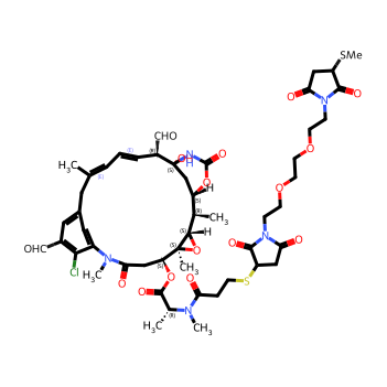 CSC1CC(=O)N(CCOCCOCCN2C(=O)CC(SCCC(=O)N(C)[C@H](C)C(=O)O[C@H]3CC(=O)N(C)c4cc(cc(C=O)c4Cl)C/C(C)=C/C=C/[C@@H](C=O)[C@@]4(O)C[C@H](OC(=O)N4)[C@@H](C)[C@@H]4O[C@@]34C)C2=O)C1=O